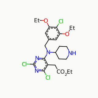 CCOC(=O)Cc1c(Cl)nc(Cl)nc1N(Cc1cc(OCC)c(Cl)c(OCC)c1)C1CCNCC1